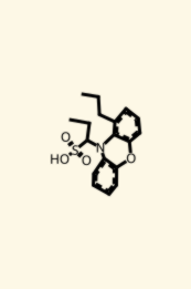 CCCc1cccc2c1N(C(CC)S(=O)(=O)O)c1ccccc1O2